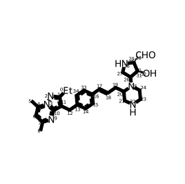 CCc1nn2c(C)cc(C)nc2c1Cc1ccc(C=CCC2CNCCN2C2CN[C@H](C=O)[C@H]2O)cc1